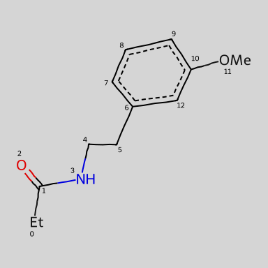 CCC(=O)NCCc1cccc(OC)c1